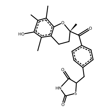 Cc1c(C)c2c(c(C)c1O)CC[C@@](C)(C(=O)c1ccc(CC3SC(=O)NC3=O)cc1)O2